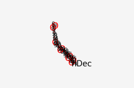 C=CC(=O)OCCCCCCCCCCCOc1ccc(C#CC(=O)OC2CCC(C3CCC(C(=O)Oc4ccc(OC(=O)CCCCCCCCCC)cc4)CC3)CC2)cc1